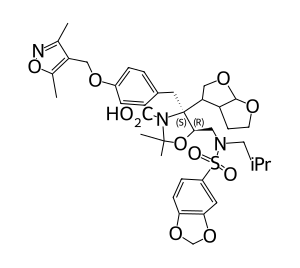 Cc1noc(C)c1COc1ccc(C[C@]2(C3COC4OCCC43)[C@@H](CN(CC(C)C)S(=O)(=O)c3ccc4c(c3)OCO4)OC(C)(C)N2C(=O)O)cc1